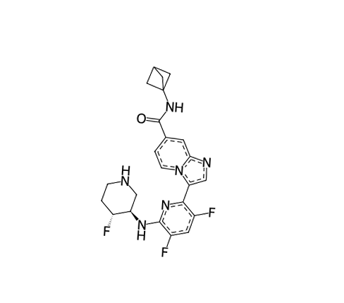 O=C(NC12CC(C1)C2)c1ccn2c(-c3nc(N[C@@H]4CNCC[C@H]4F)c(F)cc3F)cnc2c1